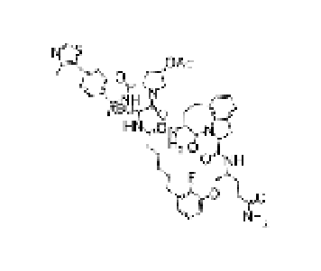 CC(=O)O[C@@H]1C[C@@H](C(=O)N[C@@H](C)c2ccc(-c3scnc3C)cc2)N(C(=O)[C@@H](NC(=O)CCCCCc2cccc(OC[C@H](CCC(N)=O)NC(=O)[C@@H]3Cc4cccc5c4N3C(=O)[C@@H](N)CC5)c2F)C(C)(C)C)C1